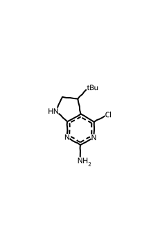 CC(C)(C)C1CNc2nc(N)nc(Cl)c21